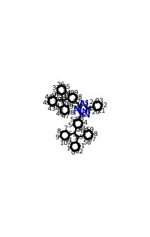 c1ccc(C(=C(c2ccccc2)c2ccc(-c3nc(-c4ccccc4)nc(-c4cccc(C5(c6ccccc6)c6ccccc6-c6ccccc65)c4)n3)cc2)c2ccccc2)cc1